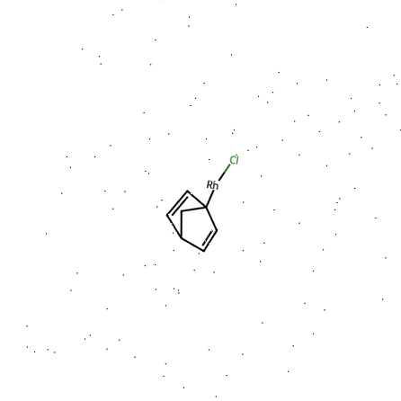 [Cl][Rh][C]12C=CC(C=C1)C2